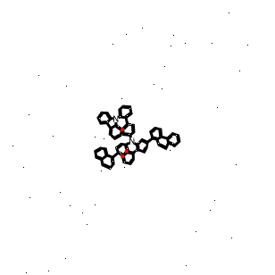 c1ccc(-c2ccc(-c3cccc4c3ccc3ccccc34)cc2N(c2ccc(-c3ccccc3-n3c4ccccc4c4ccccc43)cc2)c2ccc(-c3cccc4ccccc34)cc2)cc1